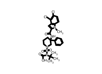 Cn1c(C(=O)NC2(c3ccccc3)CCCN(S(=O)(=O)N(C(=O)O)C(C)(C)C)C2)cc2c(Cl)c(Cl)ccc21